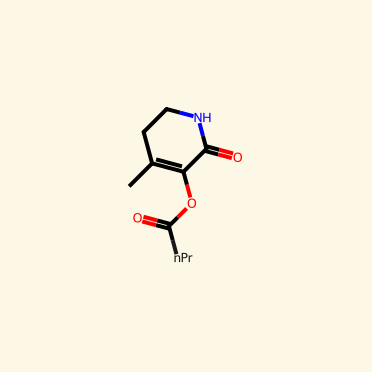 CCCC(=O)OC1=C(C)CCNC1=O